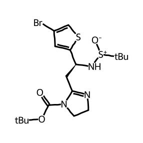 CC(C)(C)OC(=O)N1CCN=C1C[C@H](N[S+]([O-])C(C)(C)C)c1cc(Br)cs1